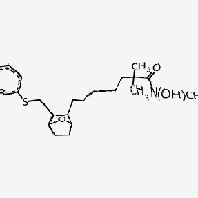 CN(O)C(=O)C(C)(C)CCCCCC1C2CCC(O2)C1CSc1ccccc1